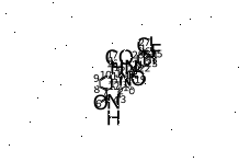 CC(c1c[nH]c(=O)c2ccccc12)N(CCCC(=O)O)C(=O)Nc1ccc(F)c(Cl)c1